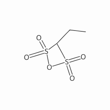 CCC1S(=O)(=O)OS1(=O)=O